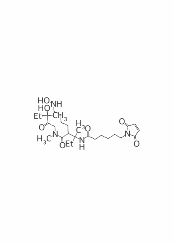 CCC(C)(NC(=O)CCCCCN1C(=O)C=CC1=O)C(CCCCNO)C(=O)N(C)CC(=O)[C@@](C)(O)CC